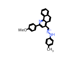 COc1ccc(-c2cc(/C=N/Nc3ccc(C)cc3)c3ccc4ccccc4c3n2)cc1